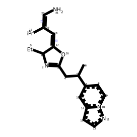 CCC1N=C(CC(C)c2ccn3nccc3c2)O/C1=C/C(=C\N)C(C)C